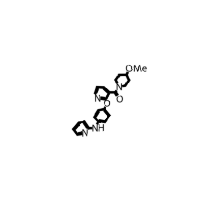 COC1CCN(C(=O)c2cccnc2Oc2ccc(Nc3ccccn3)cc2)CC1